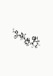 CCOC(=O)C12C3CN(c4nc(-c5ccccc5O)cs4)C1C32